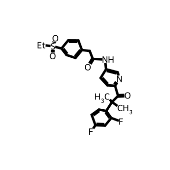 CCS(=O)(=O)c1ccc(CC(=O)Nc2ccc(C(=O)C(C)(C)c3ccc(F)cc3F)nc2)cc1